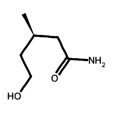 C[C@H](CCO)CC(N)=O